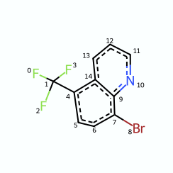 FC(F)(F)c1ccc(Br)c2ncccc12